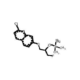 CC(C)(C)[Si](C)(C)OC(CF)COc1ccc2ccc(Cl)nc2c1